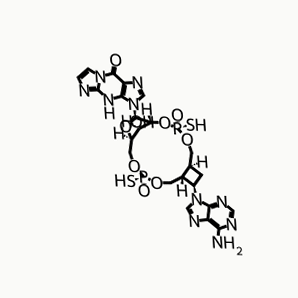 Nc1ncnc2c1ncn2[C@@H]1C[C@@H]2CO[P@@](=O)(S)O[C@@H]3[C@H](O)[C@@H](CO[P@@](=O)(S)OC[C@H]21)O[C@H]3n1cnc2c(=O)n3ccnc3[nH]c21